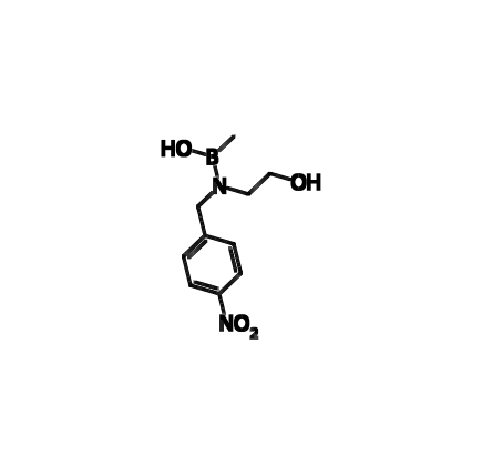 CB(O)N(CCO)Cc1ccc([N+](=O)[O-])cc1